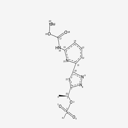 C[C@H](OS(C)(=O)=O)c1nnc(-c2cccc(NC(=O)OC(C)(C)C)n2)s1